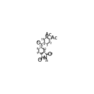 CC(=O)c1ccc(C(=O)c2ccc3c(c2)C(=O)N(C)C3=O)cc1C(C)=O